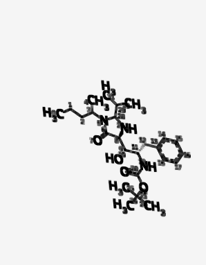 CCCC(C)N1C(=O)[C@H]([C@@H](O)[C@H](Cc2ccccc2)NC(=O)OC(C)(C)C)NC1C(C)C